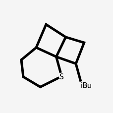 CCC(C)C1CC2CC3CCCSC321